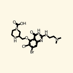 CN(C)CCNc1nc2cc(Br)c(Cl)c(OCC3CN(C(=O)O)CCN3)c2c(=O)[nH]1